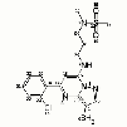 Bc1cnn2c(NCCCN(C)S(C)(=O)=O)cc(-c3ccccc3Cl)nc12